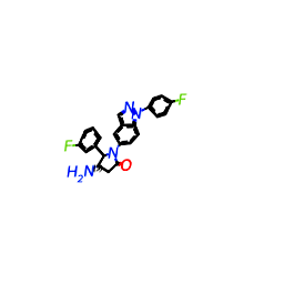 N[C@H]1CC(=O)N(c2ccc3c(cnn3-c3ccc(F)cc3)c2)C1c1cccc(F)c1